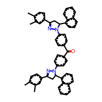 Cc1ccc(C2=NN(c3ccc(C(=O)c4ccc(N5N=C(c6ccc(C)c(C)c6)CC5c5cccc6ccccc56)cc4)cc3)C(c3cccc4ccccc34)C2)cc1C